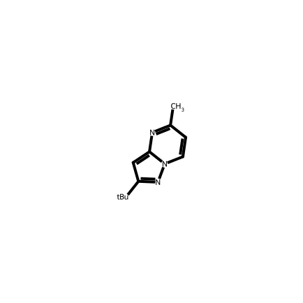 Cc1ccn2nc(C(C)(C)C)cc2n1